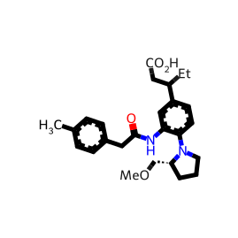 CCC(CC(=O)O)c1ccc(N2CCC[C@@H]2COC)c(NC(=O)Cc2ccc(C)cc2)c1